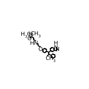 CCC(=C(c1ccc(OCCCNCC=CC(=O)N(C)C)cc1)c1ccc2[nH]ncc2c1)c1ccccc1